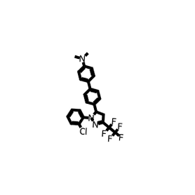 CN(C)c1ccc(-c2ccc(C3CC(C(F)(F)C(F)(F)F)=NN3c3ccccc3Cl)cc2)cc1